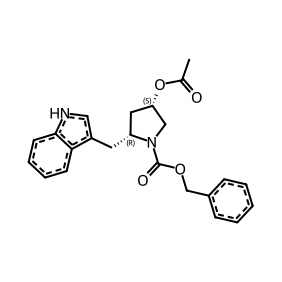 CC(=O)O[C@H]1C[C@@H](Cc2c[nH]c3ccccc23)N(C(=O)OCc2ccccc2)C1